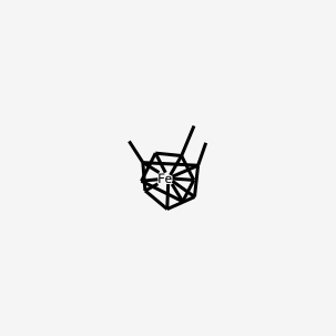 C[C]12[CH]3[CH]4[CH]5[CH]1[Fe]45321678[CH]2[CH]1[C]6(C)[C]7(C)[CH]28